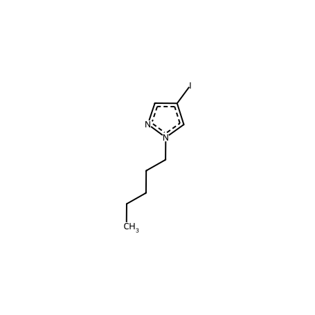 CCCCCn1cc(I)cn1